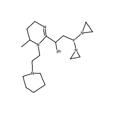 CC(C)C(CP(N1CC1)N1CC1)C1=NCCC(C)N1CCN1CCCCC1